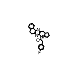 O=C(Cc1ccc(F)cc1)Nc1nc2c(nc1CC1CCCC1)-c1ccccc1CC2